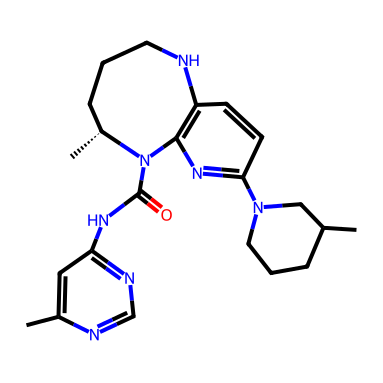 Cc1cc(NC(=O)N2c3nc(N4CCCC(C)C4)ccc3NCCC[C@H]2C)ncn1